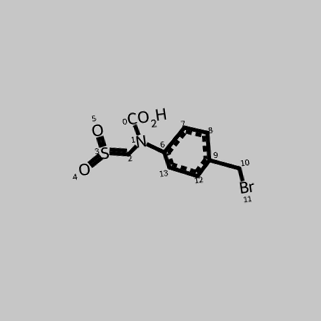 O=C(O)N(C=S(=O)=O)c1ccc(CBr)cc1